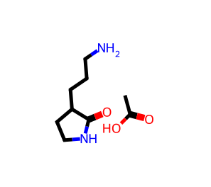 CC(=O)O.NCCCC1CCNC1=O